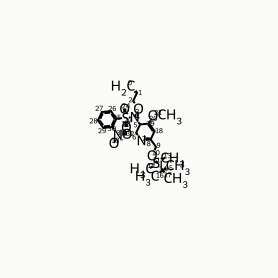 C=CCON(C1CN=C(CO[Si](C)(C)C(C)(C)C)C=C1OC)S(=O)(=O)c1ccccc1[N+](=O)[O-]